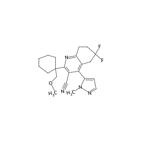 COCC1(c2nc3c(c(-c4ccnn4C)c2C#N)CC(F)(F)CC3)CCCCC1